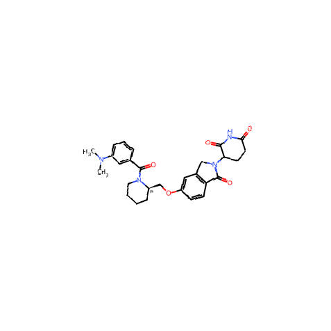 CN(C)c1cccc(C(=O)N2CCCC[C@@H]2COc2ccc3c(c2)CN(C2CCC(=O)NC2=O)C3=O)c1